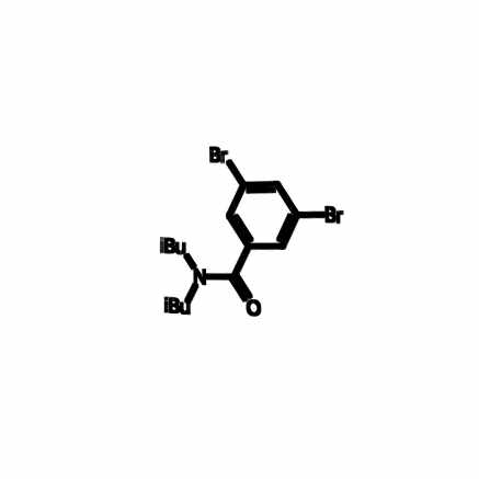 CCC(C)N(C(=O)c1cc(Br)cc(Br)c1)C(C)CC